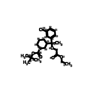 CCOC(=O)CO[C@@](C)(c1cccc(Cl)c1)C1CCCN(C(=O)OC(C)(C)C)C1